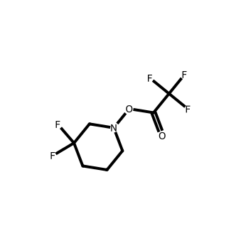 O=C(ON1CCCC(F)(F)C1)C(F)(F)F